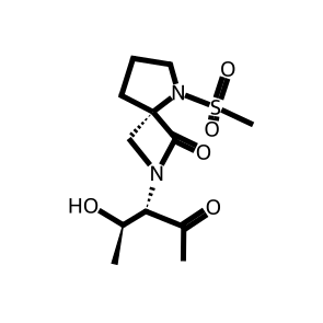 CC(=O)[C@H]([C@@H](C)O)N1C[C@@]2(CCCN2S(C)(=O)=O)C1=O